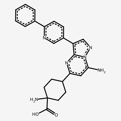 Nc1cc(C2CCC(N)(C(=O)O)CC2)nc2c(-c3ccc(-c4ccccc4)nc3)cnn12